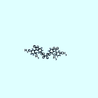 Cc1ccc(C)c(C2C(=O)Oc3ccc(OOC(=O)C(=O)OOc4ccc5c(c4)C(c4cc(C)ccc4C)C(=O)O5)cc32)c1